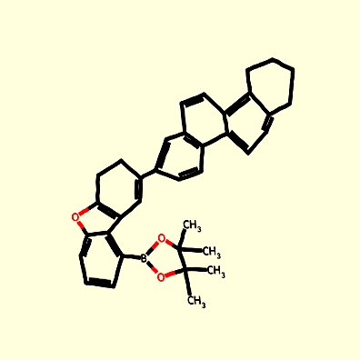 CC1(C)OB(c2cccc3oc4c(c23)C=C(c2ccc3c(ccc5c6c(ccc53)CCCC6)c2)CC4)OC1(C)C